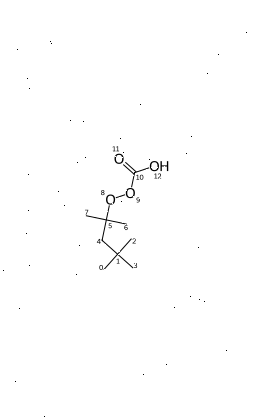 CC(C)(C)CC(C)(C)OOC(=O)O